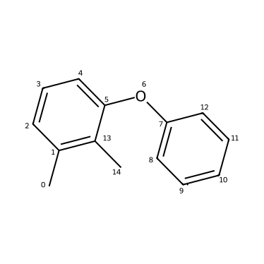 Cc1cccc(Oc2c[c]ccc2)c1C